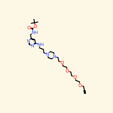 C#CCOCCOCCOCCOCCN1CCN(CCCNc2cc(CNC(=O)OC(C)(C)C)ncn2)CC1